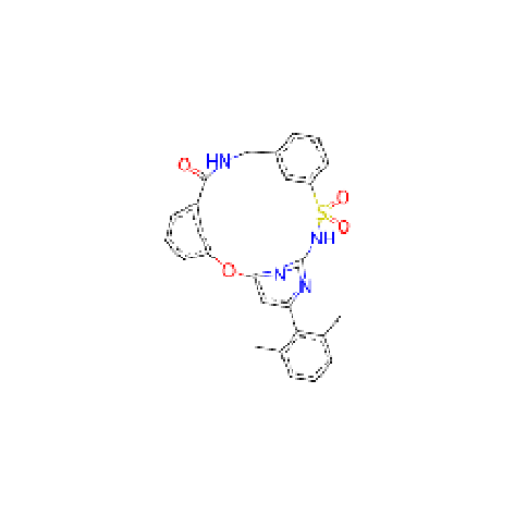 Cc1cccc(C)c1-c1cc2nc(n1)NS(=O)(=O)c1cccc(c1)CNC(=O)c1cccc(c1)O2